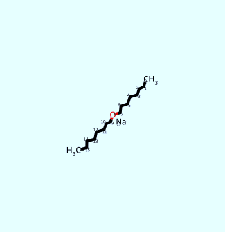 CCCCCCCCOCCCCCCCC.[Na]